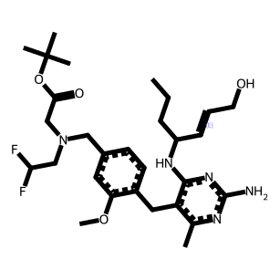 CCCC(/C=C/CO)Nc1nc(N)nc(C)c1Cc1ccc(CN(CC(=O)OC(C)(C)C)CC(F)F)cc1OC